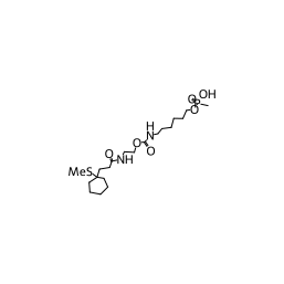 CSC1(CCC(=O)NCCOC(=O)NCCCCCCOP(C)(=O)O)CCCCC1